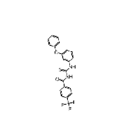 O=C(NC(=S)Nc1cccc(Oc2ccccc2)c1)c1ccc(C(F)(F)F)cc1